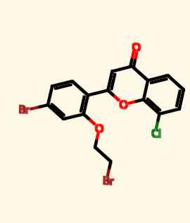 O=c1cc(-c2ccc(Br)cc2OCCBr)oc2c(Cl)cccc12